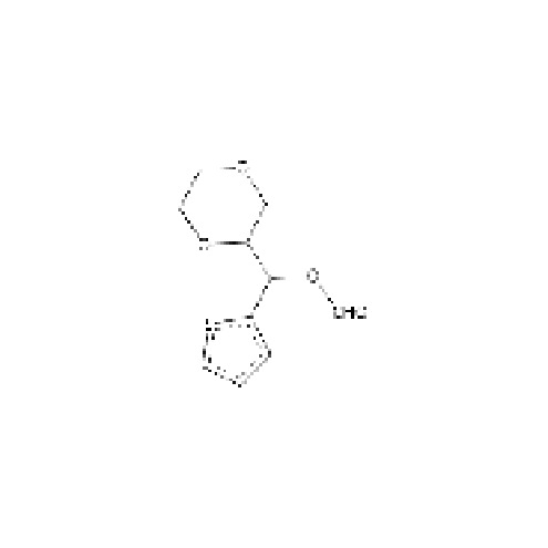 O=COC(c1cccs1)C1COCCO1